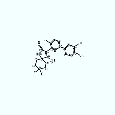 Cc1ccc(-c2ccc(Cl)c(F)c2)cc1C1=C(O)C2(CCC(F)(F)CC2)NC1=O